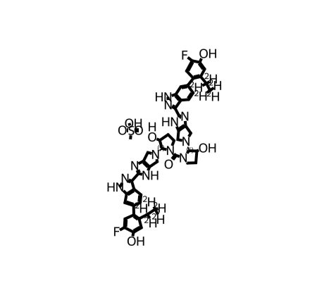 CS(=O)(=O)O.[2H]C([2H])([2H])C([2H])([2H])c1cc(O)c(F)cc1-c1ccc2c(-c3nc4c([nH]3)CN([C@@H]3C(O)CCN3C(=O)N3CCC(O)[C@H]3N3Cc5nc(-c6n[nH]c7cc(-c8cc(F)c(O)cc8C([2H])([2H])C([2H])([2H])[2H])ccc67)[nH]c5C3)C4)n[nH]c2c1